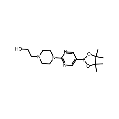 CC1(C)OB(c2cnc(N3CCN(CCO)CC3)nc2)OC1(C)C